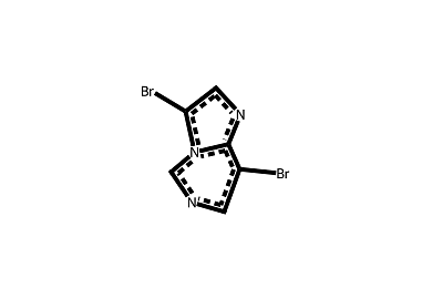 Brc1cncn2c(Br)cnc12